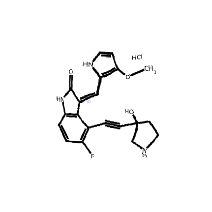 COc1cc[nH]c1/C=C1\C(=O)Nc2ccc(F)c(C#CC3(O)CCNC3)c21.Cl